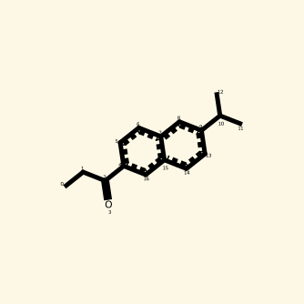 CCC(=O)c1ccc2cc(C(C)C)ccc2c1